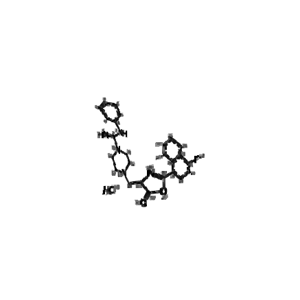 Cl.N=C(Nc1ccccc1)N1CCN(C=C2N=C(c3ccc(F)c4ccccc34)OC2=O)CC1